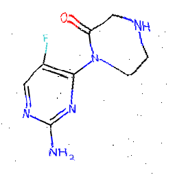 Nc1ncc(F)c(N2CCNCC2=O)n1